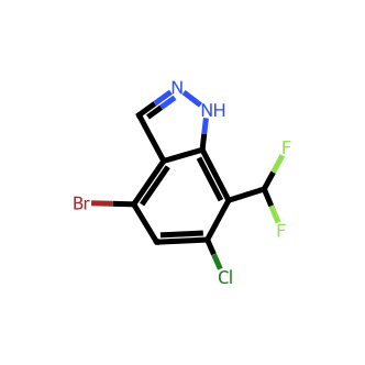 FC(F)c1c(Cl)cc(Br)c2cn[nH]c12